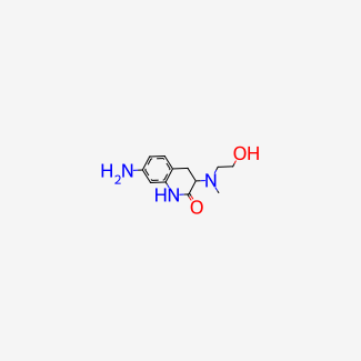 CN(CCO)C1Cc2ccc(N)cc2NC1=O